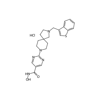 Cl.O=C(NO)c1cnc(N2CCC3(CCN(Cc4csc5ccccc45)C3)CC2)nc1